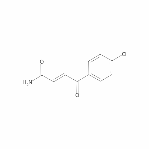 NC(=O)C=CC(=O)c1ccc(Cl)cc1